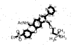 CCS(=O)(=O)c1ccc(Oc2cc3c(cc2CNC(C)=O)nc(-c2ccccn2)n3COCC[Si](C)(C)C)cc1